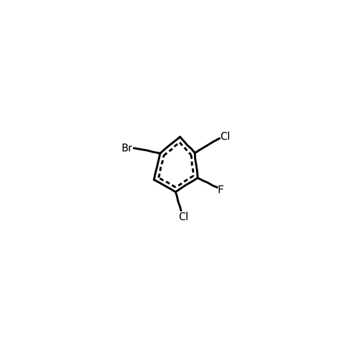 Fc1c(Cl)cc(Br)cc1Cl